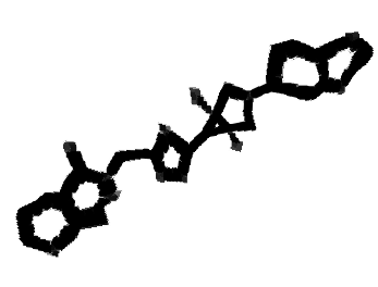 O=c1c2cccnc2cnn1Cc1nc(C2[C@H]3CN(c4ccc5ncsc5c4)C[C@@H]23)no1